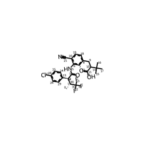 C[C@H]([C@H](C(=O)Nc1cc(CC(C(=O)O)C(C)(C)C)ccc1C#N)c1ccc(Cl)cc1)C(F)(F)F